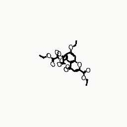 CCOC(=O)C(=O)Oc1c2c(OCC)cc3oc(C(=O)OCC)c(oc(=O)c2=O)c(=O)c13